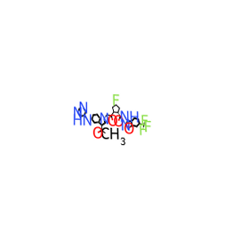 CC(=O)c1cn(CC(=O)C2C[C@H](F)C[C@H]2C(=O)Nc2noc3cc(C(F)(F)F)ccc23)c2ccc(Nc3cncnc3)cc12